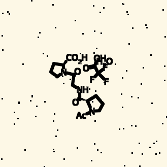 CC(=O)N1CCC[C@H]1C(=O)NCC(=O)N1CCC[C@H]1C(=O)O.O.O=C(O)C(F)(F)F